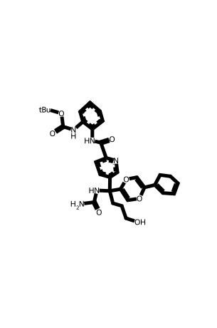 CC(C)(C)OC(=O)Nc1ccccc1NC(=O)c1ccc(C(CCCO)(NC(N)=O)C2=COC(C3=CC=CCC3)=CO2)cn1